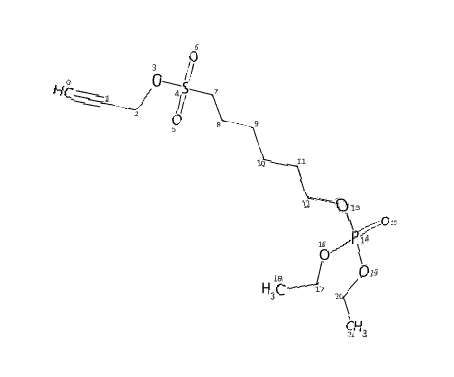 C#CCOS(=O)(=O)CCCCCCOP(=O)(OCC)OCC